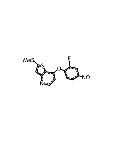 CSc1cc2nccc(Oc3ccc(N=O)cc3F)c2s1